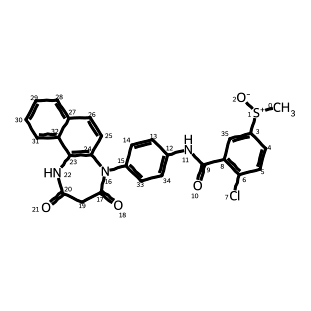 C[S+]([O-])c1ccc(Cl)c(C(=O)Nc2ccc(N3C(=O)CC(=O)Nc4c3ccc3ccccc43)cc2)c1